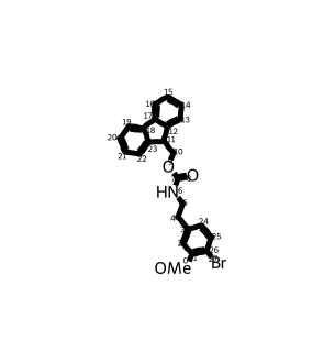 COc1cc(CCNC(=O)OCC2c3ccccc3-c3ccccc32)ccc1Br